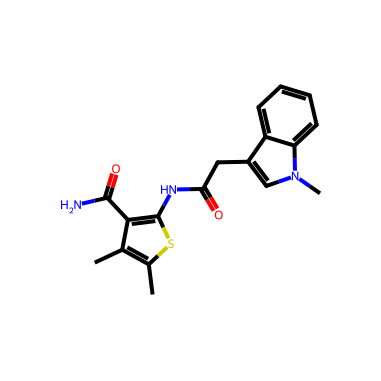 Cc1sc(NC(=O)Cc2cn(C)c3ccccc23)c(C(N)=O)c1C